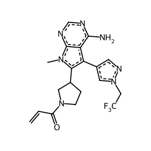 C=CC(=O)N1CCC(c2c(-c3cnn(CC(F)(F)F)c3)c3c(N)ncnc3n2C)C1